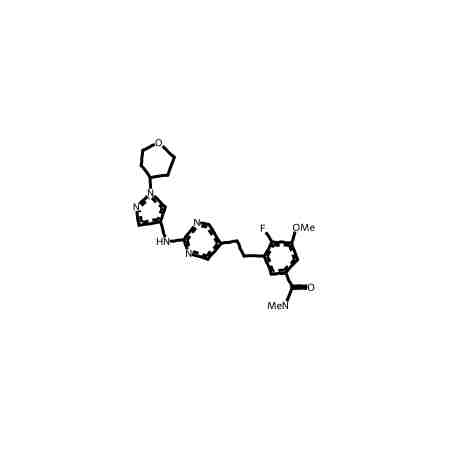 CNC(=O)c1cc(CCc2cnc(Nc3cnn(C4CCOCC4)c3)nc2)c(F)c(OC)c1